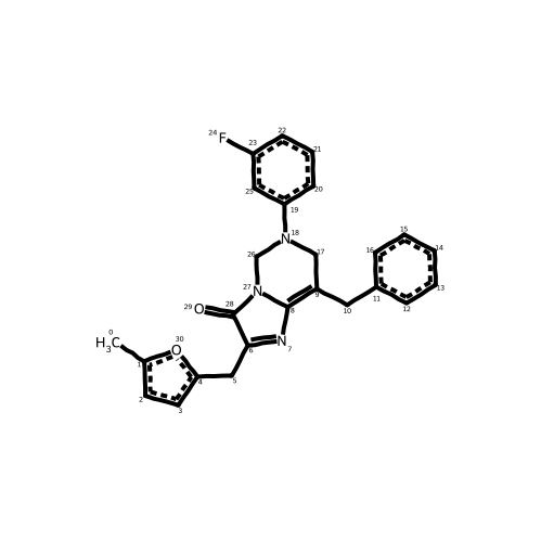 Cc1ccc(CC2=NC3=C(Cc4ccccc4)CN(c4cccc(F)c4)CN3C2=O)o1